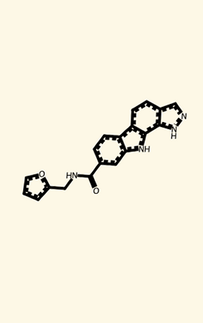 O=C(NCc1ccco1)c1ccc2c(c1)[nH]c1c2ccc2cn[nH]c21